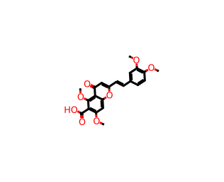 COc1ccc(C=Cc2cc(=O)c3c(OC)c(C(=O)O)c(OC)cc3o2)cc1OC